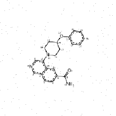 NC(=O)c1ccc2cncc(N3CCC(Oc4ccccc4)CC3)c2c1